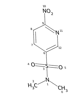 CN(C)S(=O)(=O)c1ccc([N+](=O)[O-])nc1